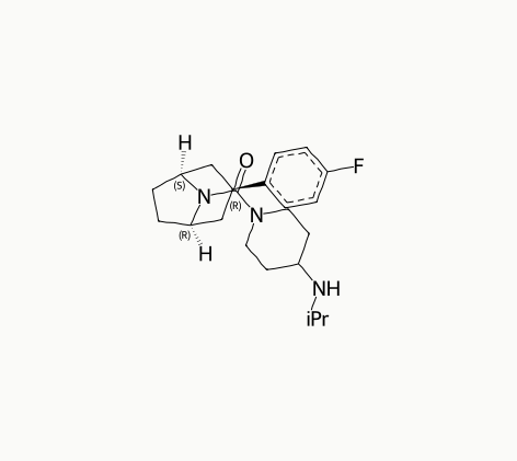 CC(C)NC1CCN(C(=O)N2[C@@H]3CC[C@H]2C[C@@H](c2ccc(F)cc2)C3)CC1